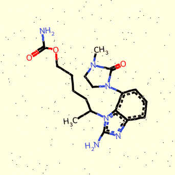 CC(CCCCOC(N)=O)n1c(N)nc2cccc(N3CCN(C)C3=O)c21